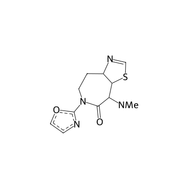 CNC1C(=O)N(c2ncco2)CCC2N=CSC21